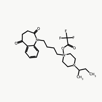 CCC(C)N1CC[N+](CCCCN2C(=O)CCC(=O)c3ccccc32)(OC(=O)C(F)(F)F)CC1